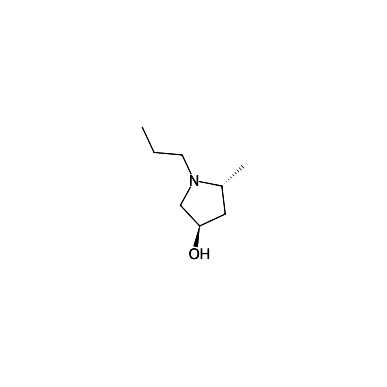 CCCN1C[C@H](O)C[C@H]1C